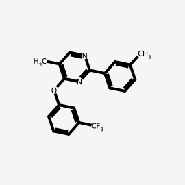 Cc1cccc(-c2ncc(C)c(Oc3cccc(C(F)(F)F)c3)n2)c1